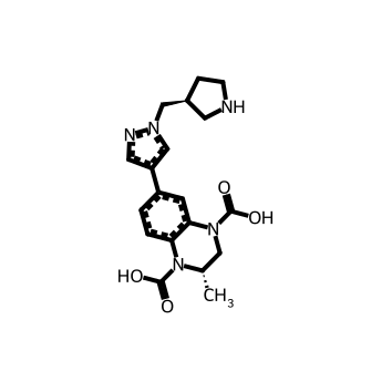 C[C@H]1CN(C(=O)O)c2cc(-c3cnn(C[C@H]4CCNC4)c3)ccc2N1C(=O)O